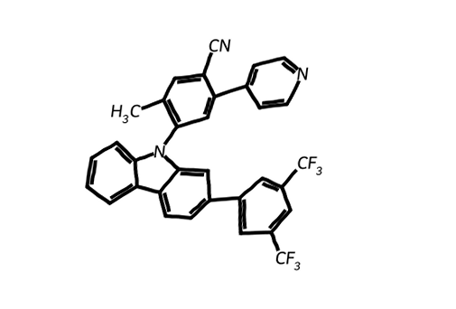 Cc1cc(C#N)c(-c2ccncc2)cc1-n1c2ccccc2c2ccc(-c3cc(C(F)(F)F)cc(C(F)(F)F)c3)cc21